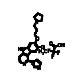 COc1cc2c(cc1OCCCN1CCCC1)[nH]c1ccnc(-n3ccnc3)c12.O=C(O)C(F)(F)F